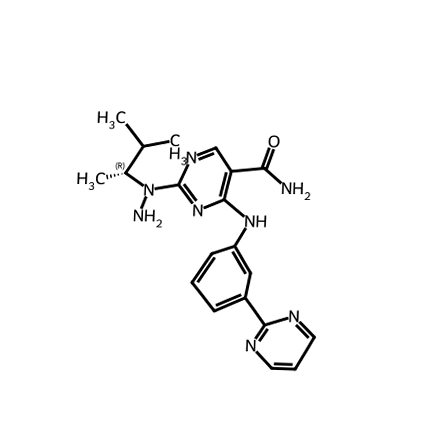 CC(C)[C@@H](C)N(N)c1ncc(C(N)=O)c(Nc2cccc(-c3ncccn3)c2)n1